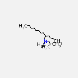 CCCCCCCCC(CCCC)CN(C)CC(C)C